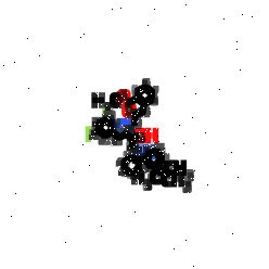 COC(=O)c1ccccc1CCCNC(Cc1cc(F)cc(F)c1)C(O)CNC1(c2cccc(C(C)(C)C)c2)CCCCC1